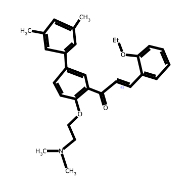 CCOc1ccccc1/C=C/C(=O)c1cc(-c2cc(C)cc(C)c2)ccc1OCCN(C)C